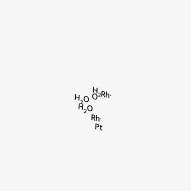 O.O.O.[Pt].[Rh].[Rh]